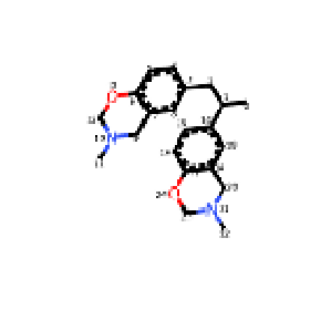 CC(Cc1ccc2c(c1)CN(C)CO2)c1ccc2c(c1)CN(C)CO2